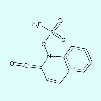 O=C=C1C=Cc2ccccc2N1OS(=O)(=O)C(F)(F)F